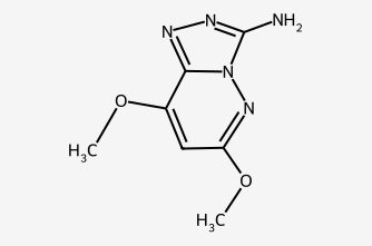 COc1cc(OC)c2nnc(N)n2n1